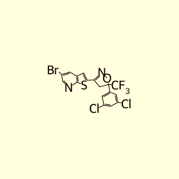 FC(F)(F)C1(c2cc(Cl)cc(Cl)c2)CC(c2cc3cc(Br)cnc3s2)=NO1